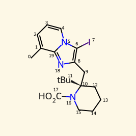 Cc1cccn2c(I)c(C[C@]3(C(C)(C)C)CCCCN3C(=O)O)nc12